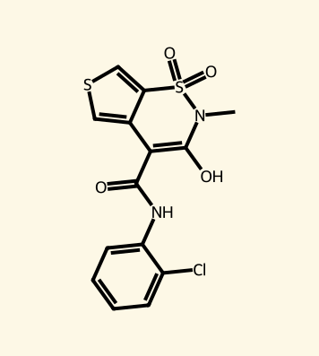 CN1C(O)=C(C(=O)Nc2ccccc2Cl)c2cscc2S1(=O)=O